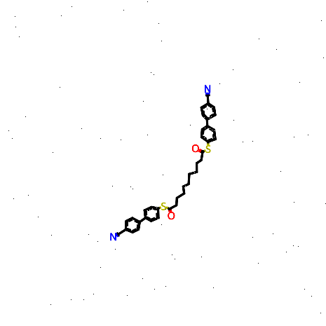 N#Cc1ccc(-c2ccc(SC(=O)CCCCCCCCCC(=O)Sc3ccc(-c4ccc(C#N)cc4)cc3)cc2)cc1